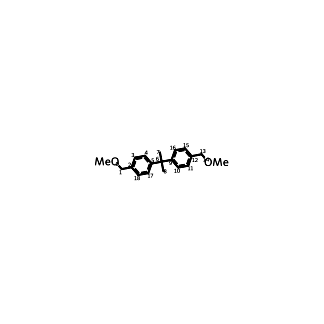 COCc1ccc(C(C)(C)c2ccc(COC)cc2)cc1